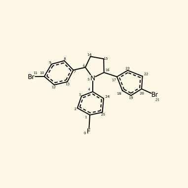 Fc1ccc(N2C(c3ccc(Br)cc3)CCC2c2ccc(Br)cc2)cc1